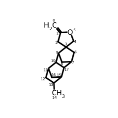 C=C1CC2(CO1)CC1CC2C2C3CC(C)C(C3)C12